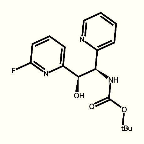 CC(C)(C)OC(=O)N[C@H](c1ccccn1)[C@@H](O)c1cccc(F)n1